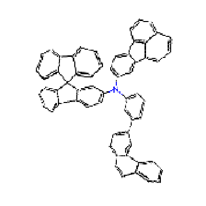 c1cc(-c2ccc3ccc4ccccc4c3c2)cc(N(c2ccc3c(c2)-c2cccc4cccc-3c24)c2ccc3c(c2)C2(c4ccccc4-c4ccccc42)c2ccccc2-3)c1